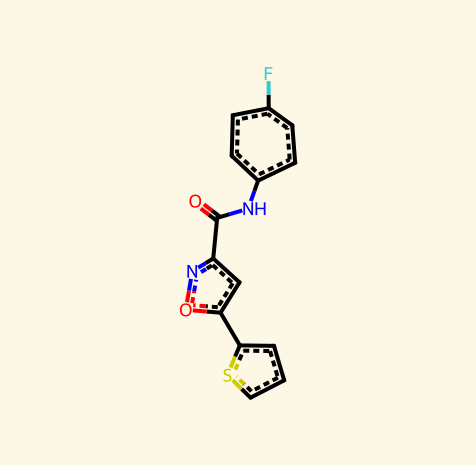 O=C(Nc1ccc(F)cc1)c1cc(-c2cccs2)on1